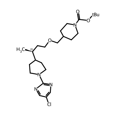 C[C@@H](CCOCC1CCN(C(=O)OC(C)(C)C)CC1)C1CCN(c2ncc(Cl)cn2)CC1